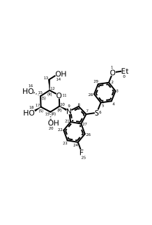 CCOc1ccc(Sc2cn([C@@H]3O[C@H](CO)[C@@H](O)[C@H](O)[C@H]3O)c3ccc(F)cc23)cc1